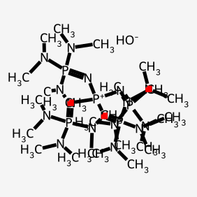 CN(C)P(=N[P+](N=P(N(C)C)(N(C)C)N(C)C)(N=P(N(C)C)(N(C)C)N(C)C)N=P(N(C)C)(N(C)C)N(C)C)(N(C)C)N(C)C.[OH-]